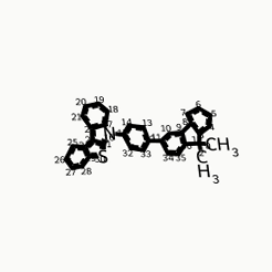 CC1(C)c2ccccc2-c2cc(-c3ccc(-n4c5ccccc5c5c6ccccc6sc54)cc3)ccc21